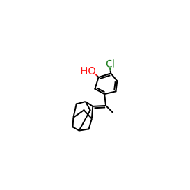 CC(=C1C2CC3CC(C2)CC1C3)c1ccc(Cl)c(O)c1